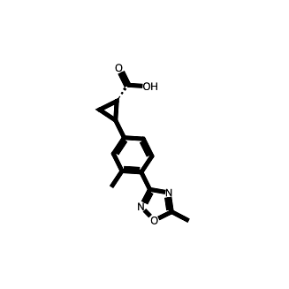 Cc1nc(-c2ccc(C3C[C@@H]3C(=O)O)cc2C)no1